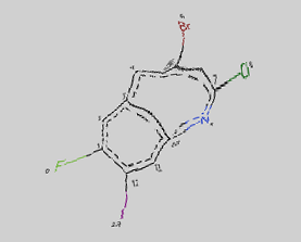 Fc1cc2cc(Br)c(Cl)nc2cc1I